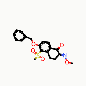 CON=C1CCc2c(ccc(OCc3ccccc3)c2S(C)(=O)=O)C1=O